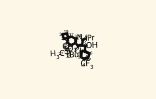 Cc1c2c(nc(C(C)C)c1C(O)c1ccc(C(F)(F)F)cc1)CC1(CCC1)CC2O[Si](C)(C)C(C)(C)C